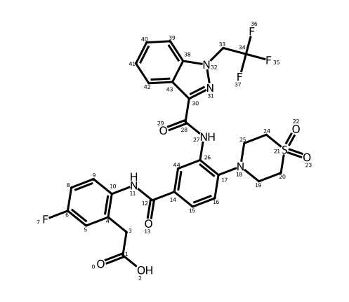 O=C(O)Cc1cc(F)ccc1NC(=O)c1ccc(N2CCS(=O)(=O)CC2)c(NC(=O)c2nn(CC(F)(F)F)c3ccccc23)c1